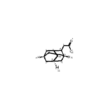 O=C(Cl)CC1C2C[C@H]3C[C@@H](C2)C[C@@H]1C3